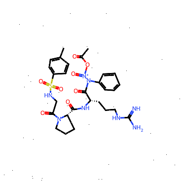 CC(=O)O[N+](=O)N(C(=O)[C@H](CCCNC(=N)N)NC(=O)[C@@H]1CCCN1C(=O)CNS(=O)(=O)c1ccc(C)cc1)c1ccccc1